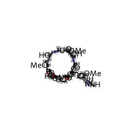 CO[C@H]1C[C@@H]2CC[C@@H](C)[C@@](O)(O2)C(=O)C(=O)N2CCCC[C@H]2C(=O)O[C@H]([C@H](C)C[C@@H]2CCC(N/C=N\N=N)[C@H](OC)C2)CC(=O)[C@H](C)/C=C(\C)[C@@H](O)[C@@H](OC)C(=O)[C@H](C)C[C@H](C)/C=C/CC(O)/C=C/1C